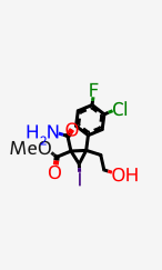 COC(=O)C1(C(N)=O)C(I)C1(CCO)c1ccc(F)c(Cl)c1